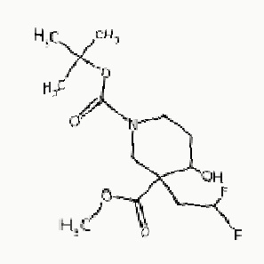 COC(=O)C1(CC(F)F)CN(C(=O)OC(C)(C)C)CCC1O